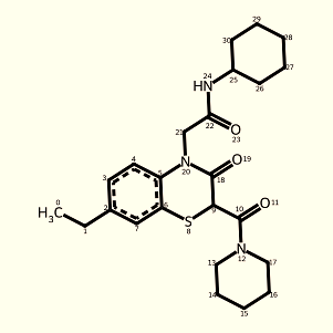 CCc1ccc2c(c1)SC(C(=O)N1CCCCC1)C(=O)N2CC(=O)NC1CCCCC1